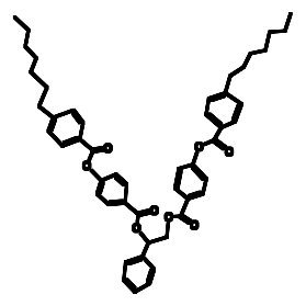 CCCCCCCc1ccc(C(=O)Oc2ccc(C(=O)OCC(OC(=O)c3ccc(OC(=O)c4ccc(CCCCCCC)cc4)cc3)c3ccccc3)cc2)cc1